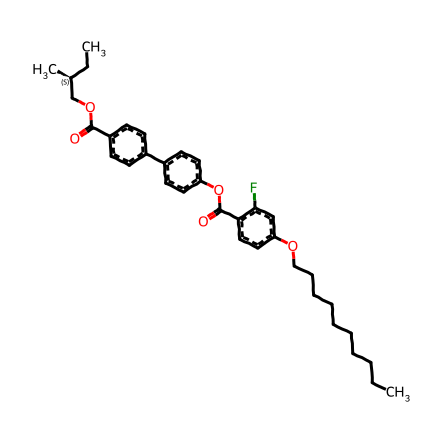 CCCCCCCCCCOc1ccc(C(=O)Oc2ccc(-c3ccc(C(=O)OC[C@@H](C)CC)cc3)cc2)c(F)c1